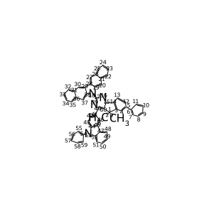 CC1(C)c2cc(-c3ccccc3)ccc2-c2nc(-n3c4cc5ccccc5cc4c4cc5ccccc5cc43)nc(-c3ccc4c(c3)c3ccccc3n4-c3ccccc3)c21